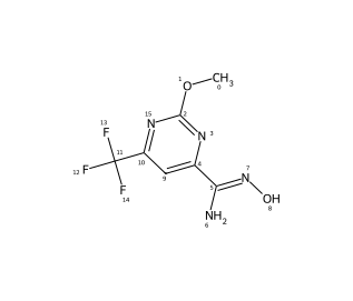 COc1nc(C(N)=NO)cc(C(F)(F)F)n1